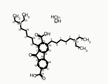 CCN(CC)CCCCCc1cc2c(c(CCCCCN(CC)CC)c1C(=O)O)C(=O)c1cc(C(=O)O)ccc1-2.Cl.Cl